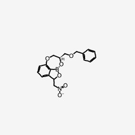 O=[N+]([O-])CC1OB2O[C@H](COCc3ccccc3)COc3cccc1c32